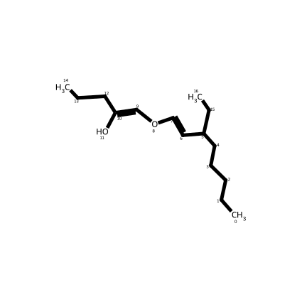 CCCCCC(C=COC=C(O)CCC)CC